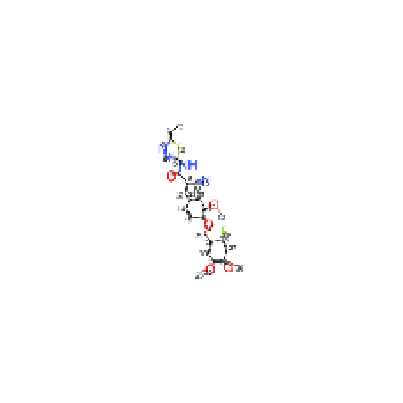 CCc1nnc(NC(=O)/C(C#N)=C/c2ccc(OCc3cc(OC)c(OC)cc3F)c(OC)c2)s1